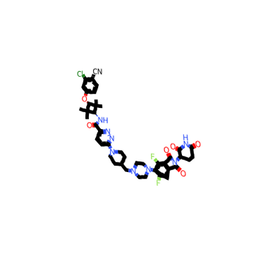 CC1(C)[C@H](NC(=O)c2ccc(N3CCC(CN4CCN(c5c(F)cc6c(c5F)C(=O)N(C5CCC(=O)NC5=O)C6=O)CC4)CC3)nn2)C(C)(C)[C@H]1Oc1ccc(C#N)c(Cl)c1